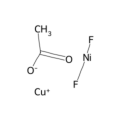 CC(=O)[O-].[Cu+].[F][Ni][F]